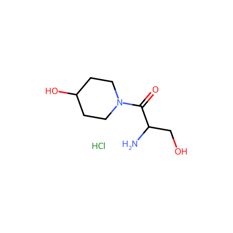 Cl.NC(CO)C(=O)N1CCC(O)CC1